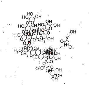 CC1OC(OC2C(C)OC(OC(=O)[C@]34CCC(C)(C)CC3C3=CCC5[C@@]6(C)CC[C@H](OC7OC(OC=O)C(O)C(OC8OCC(O)C(O)C8O)C7OC7OC(CO)C(O)C(O)C7O)[C@@](C)(/C=N/NC(=O)CCCCCN7C(=O)C[C@H](SCCO)C7=O)C6CC[C@@]5(C)[C@]3(C)CC4O)C(OC3OC(C)C(OC4OCC(O)C(OC5OC(CO)C(O)C(O)C5O)C4O)C(O)C3O)C2O)C(O)C(OC2OCC(O)C(O)C2O)C1C